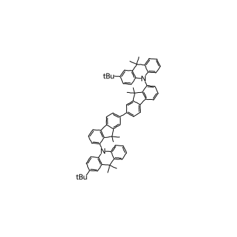 CC(C)(C)c1ccc2c(c1)C(C)(C)c1ccccc1N2c1cccc2c1C(C)(C)c1cc(-c3ccc4c(c3)C(C)(C)c3c-4cccc3N3c4ccccc4C(C)(C)c4cc(C(C)(C)C)ccc43)ccc1-2